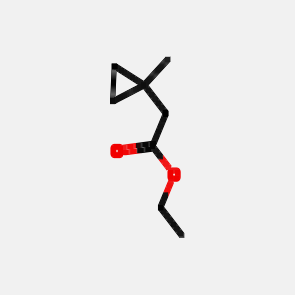 CCOC(=O)CC1(C)CC1